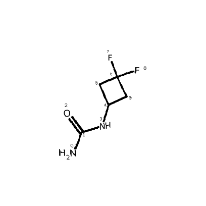 NC(=O)NC1CC(F)(F)C1